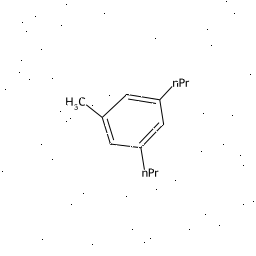 CCCc1cc(C)cc(CCC)c1